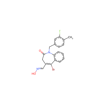 Cc1ccc(CN2C(=O)CC(C=NO)=C(Br)c3ccccc32)cc1F